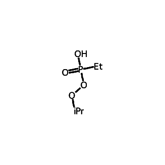 CCP(=O)(O)OOC(C)C